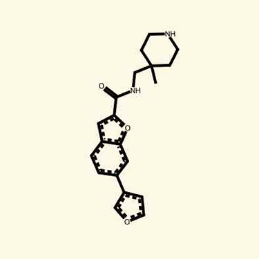 CC1(CNC(=O)c2cc3ccc(-c4ccoc4)cc3o2)CCNCC1